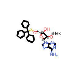 CCCCCCO[C@@H]1[C@H](O)[C@@H](COSC(c2ccccc2)(c2ccccc2)c2ccccc2)O[C@H]1n1cnc2c(N)ncnc21